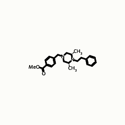 COC(=O)c1ccc(CN2C[C@@H](C)N(CCc3ccccc3)[C@@H](C)C2)cc1